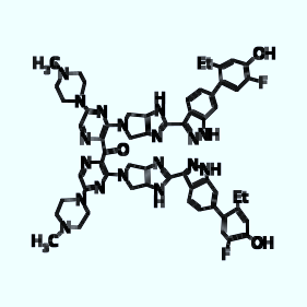 CCc1cc(O)c(F)cc1-c1ccc2c(-c3nc4c([nH]3)CN(c3nc(N5CCN(C)CC5)cnc3C(=O)c3ncc(N5CCN(C)CC5)nc3N3Cc5nc(-c6n[nH]c7cc(-c8cc(F)c(O)cc8CC)ccc67)[nH]c5C3)C4)n[nH]c2c1